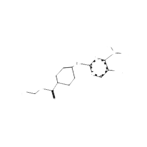 CCOC(=O)C1CCC(Nc2ncc(C)c(N(C)C)n2)CC1